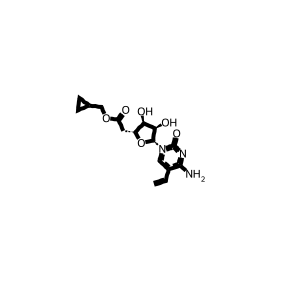 C=Cc1cn([C@@H]2O[C@H](CC(=O)OCC3CC3)[C@@H](O)[C@H]2O)c(=O)nc1N